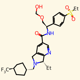 CC[C@H]1c2ncc(C(=O)N[C@@H](COCO)c3ccc(S(=O)(=O)CC)cc3)cc2CN1C[C@H]1CC[C@H](C(F)(F)F)CC1